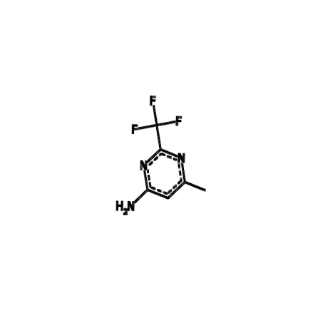 Cc1cc(N)nc(C(F)(F)F)n1